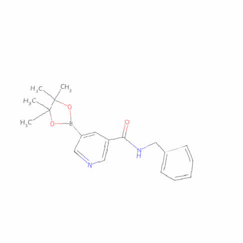 CC1(C)OB(c2cncc(C(=O)NCc3ccccc3)c2)OC1(C)C